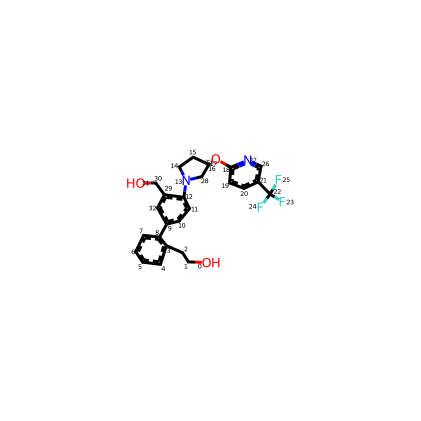 OCCc1ccccc1-c1ccc(N2CC[C@H](Oc3ccc(C(F)(F)F)cn3)C2)c(CO)c1